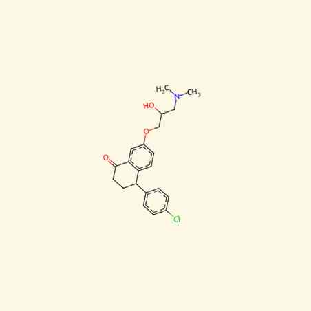 CN(C)CC(O)COc1ccc2c(c1)C(=O)CCC2c1ccc(Cl)cc1